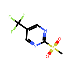 CS(=O)(=O)c1ncc(C(F)(F)F)cn1